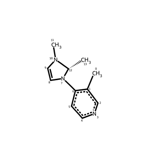 Cc1cnccc1N1C=CN(C)[C@@H]1C